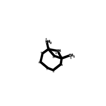 CC12BC(N)(CCCCC1)C2